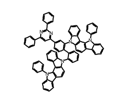 c1ccc(-c2cc(-c3ccc(-c4ccccc4-n4c5ccccc5c5c4ccc4c6ccccc6n(-c6ccccc6)c45)c(-n4c5ccccc5c5c4ccc4c6ccccc6n(-c6ccccc6)c45)c3)nc(-c3ccccc3)n2)cc1